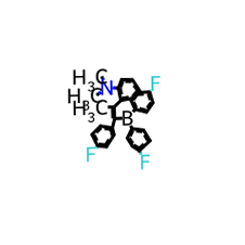 C/C(=C(/B(c1ccc(F)cc1)c1ccc(F)cc1)c1ccc(F)cc1)c1ccccc1N(C)C